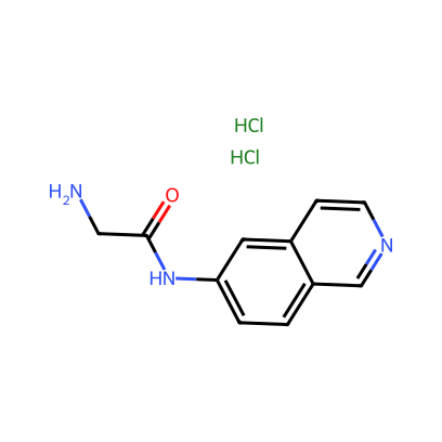 Cl.Cl.NCC(=O)Nc1ccc2cnccc2c1